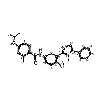 Cc1cc(OC(C)C)ccc1C(=O)Nc1ccc(Cl)c(-c2ncc(-c3ccccc3)[nH]2)c1